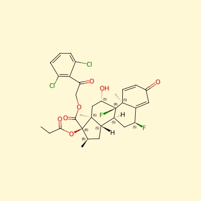 CCC(=O)O[C@]1(C(=O)OCC(=O)c2c(Cl)cccc2Cl)[C@H](C)C[C@H]2[C@@H]3C[C@H](F)C4=CC(=O)C=C[C@]4(C)[C@@]3(F)[C@@H](O)C[C@@]21C